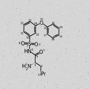 CC(C)C[C@H](N)C(=O)NS(=O)(=O)c1cccc(Oc2ccccc2)c1